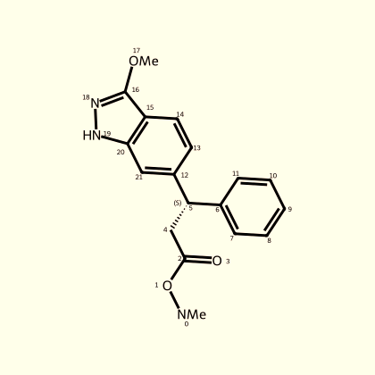 CNOC(=O)C[C@@H](c1ccccc1)c1ccc2c(OC)n[nH]c2c1